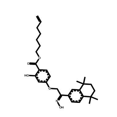 C=CCCCCCOC(=O)c1ccc(OC/C(=N/O)c2ccc3c(c2)C(C)(C)CCC3(C)C)cc1O